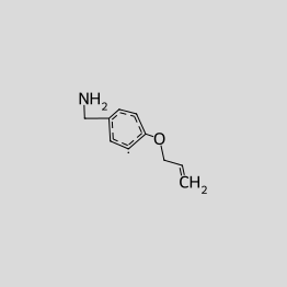 C=CCOc1[c]cc(CN)cc1